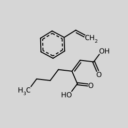 C=Cc1ccccc1.CCCC/C(=C/C(=O)O)C(=O)O